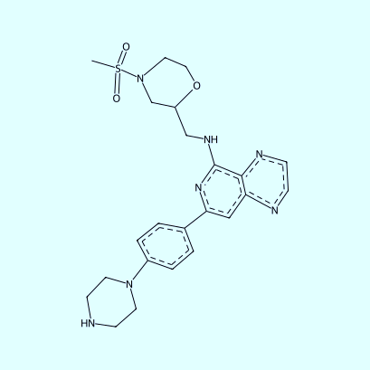 CS(=O)(=O)N1CCOC(CNc2nc(-c3ccc(N4CCNCC4)cc3)cc3nccnc23)C1